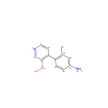 COc1cnccc1-c1ccc(N)cc1C